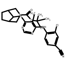 Cc1c(Nc2ccc(C#N)cc2Cl)ncnc1OC1C2CCC1CN(C(=O)OC(C)(C)C)C2